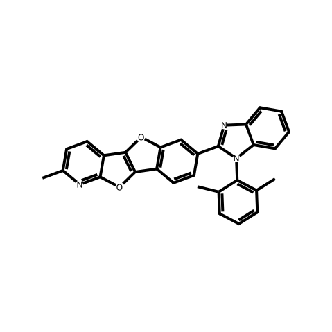 Cc1ccc2c(n1)oc1c3ccc(-c4nc5ccccc5n4-c4c(C)cccc4C)cc3oc21